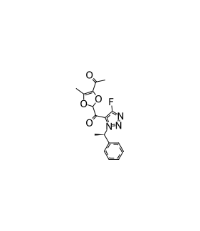 CC(=O)C1=C(C)OC(C(=O)c2c(F)nnn2[C@H](C)c2ccccc2)O1